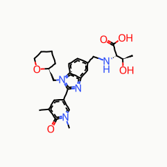 Cc1cc(-c2nc3cc(CN[C@H](C(=O)O)[C@@H](C)O)ccc3n2C[C@@H]2CCCCO2)cn(C)c1=O